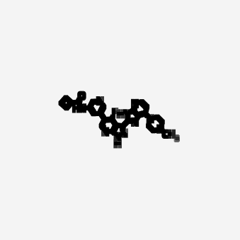 CN1CCN(c2ccnc3[nH]c(-c4n[nH]c5ncc(-c6cncc(NC(=O)C7CCC7)c6)c(F)c45)nc23)CC1